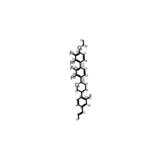 C/C=C/c1ccc(C2CCC(c3ccc(-c4ccc(OCC)c(F)c4F)c(F)c3F)OC2)c(F)c1